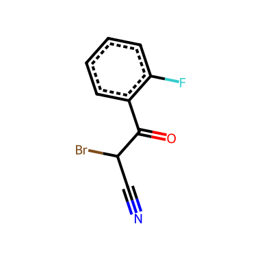 N#CC(Br)C(=O)c1ccccc1F